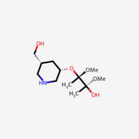 CO[C@@](C)(O[C@@H]1CNC[C@H](CO)C1)[C@](C)(O)OC